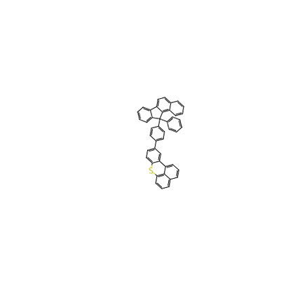 c1ccc(C2(c3ccc(-c4ccc5c(c4)-c4cccc6cccc(c46)S5)cc3)c3ccccc3-c3ccc4ccccc4c32)cc1